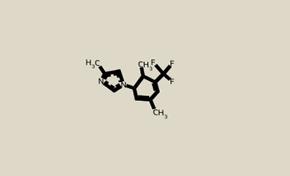 CC1=CC(n2cnc(C)c2)C(C)C(C(F)(F)F)=C1